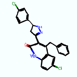 O=c1[nH]c2ccc(Cl)cc2c(Cc2ccccc2)c1C1=NNC(c2ccc(Cl)cc2)C1